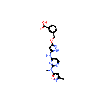 Cc1cc(N(C)c2nccc(Nc3cc(OCc4cccc(C(=O)O)c4)n[nH]3)n2)on1